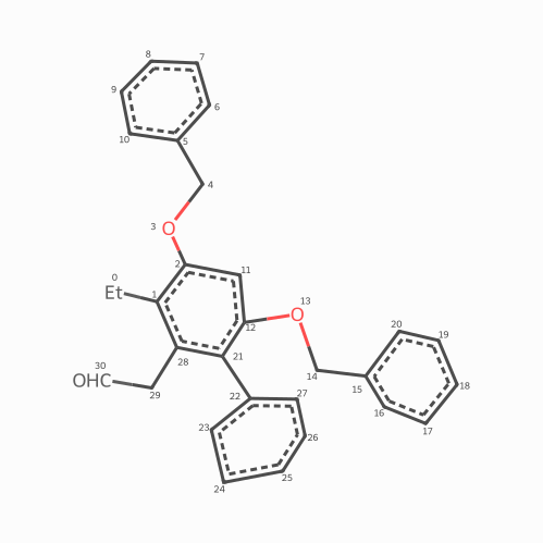 CCc1c(OCc2ccccc2)cc(OCc2ccccc2)c(-c2ccccc2)c1CC=O